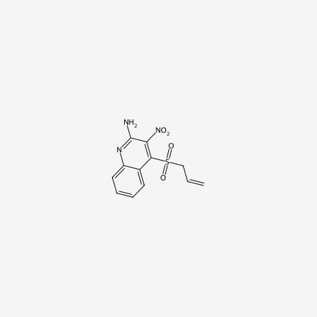 C=CCS(=O)(=O)c1c([N+](=O)[O-])c(N)nc2ccccc12